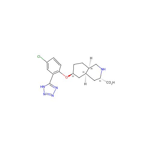 O=C(O)[C@@H]1C[C@H]2C[C@@H](Oc3ccc(Cl)cc3-c3nnn[nH]3)CC[C@H]2CN1